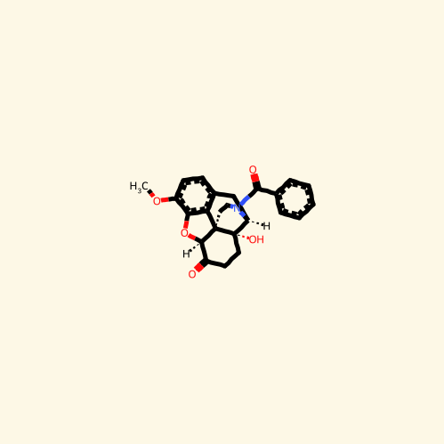 COc1ccc2c3c1O[C@@H]1C(=O)CC[C@]4(O)[C@H](C2)N(C(=O)c2ccccc2)CC[C@@]314